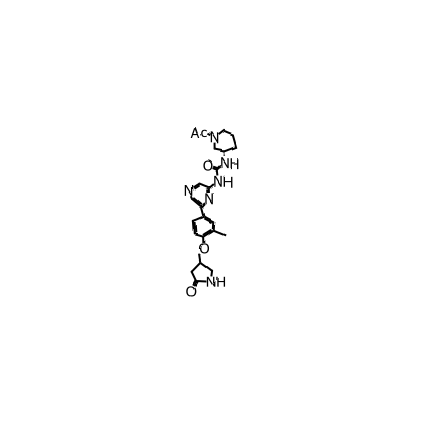 CC(=O)N1CCC[C@H](NC(=O)Nc2cncc(-c3ccc(OCC4CNC(=O)C4)c(C)c3)n2)C1